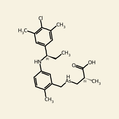 CC[C@@H](Nc1ccc(C)c(C[AsH]C[C@@H](C)C(=O)O)c1)c1cc(C)c(Cl)c(C)c1